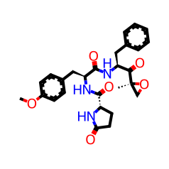 COc1ccc(C[C@H](NC(=O)[C@@H]2CCC(=O)N2)C(=O)N[C@@H](Cc2ccccc2)C(=O)[C@]2(C)CO2)cc1